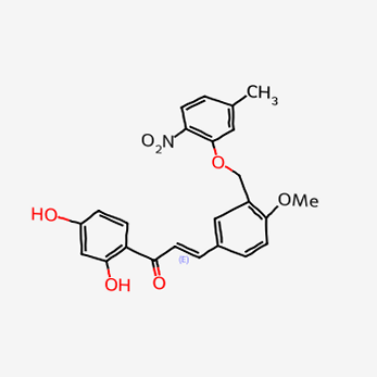 COc1ccc(/C=C/C(=O)c2ccc(O)cc2O)cc1COc1cc(C)ccc1[N+](=O)[O-]